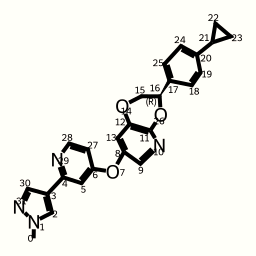 Cn1cc(-c2cc(Oc3cnc4c(c3)OC[C@@H](c3ccc(C5CC5)cc3)O4)ccn2)cn1